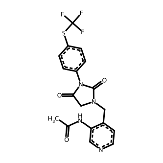 CC(=O)Nc1cnccc1CN1CC(=O)N(c2ccc(SC(F)(F)F)cc2)C1=O